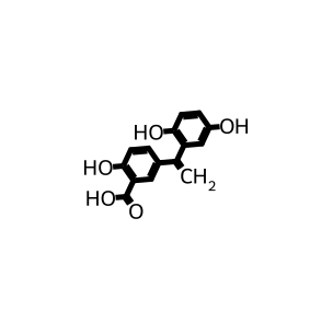 C=C(c1ccc(O)c(C(=O)O)c1)c1cc(O)ccc1O